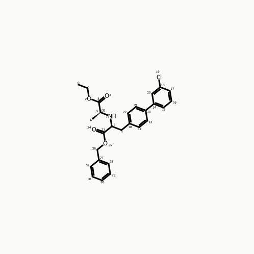 CCOC(=O)[C@H](C)NC(Cc1ccc(-c2cccc(Cl)c2)cc1)C(=O)OCc1ccccc1